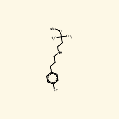 CCCCOC(C)(C)CCNCCCc1ccc(C(C)C)cc1